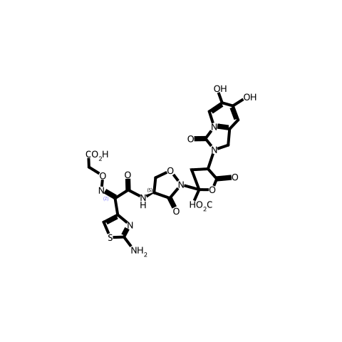 Nc1nc(/C(=N/OCC(=O)O)C(=O)N[C@H]2CON(C3(C(=O)O)CC(N4Cc5cc(O)c(O)c[n+]5C4=O)C(=O)O3)C2=O)cs1